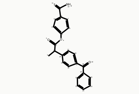 CC(C(=O)Oc1ccc(C(N)=S)cc1)c1ccc(C(=O)c2ccccc2)cc1